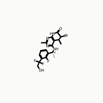 Cc1nc2c(c(N[C@H](C)c3cccc(C(F)(F)CO)c3F)n1)C(C)C(Br)C(=O)N2